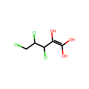 OC(O)=C(O)C(Cl)C(Cl)CCl